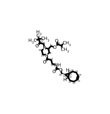 CC(C)C(=O)OCC1CN(C(=O)CCNC(=O)OC[C@@H]2[C@@H]3CCC#CCC[C@@H]32)CCN1CC(=O)C(C)(C)C